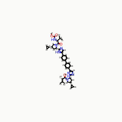 COC(=O)N[C@H](C(=O)N1C[C@@H](C2CC2)C[C@H]1c1ncc(-c2ccc(-c3ccc(-c4cnc([C@@H]5C[C@H](C6CC6)CN5C(=O)[C@@H](C)C(C)C)[nH]4)cc3)cc2)[nH]1)C(C)C